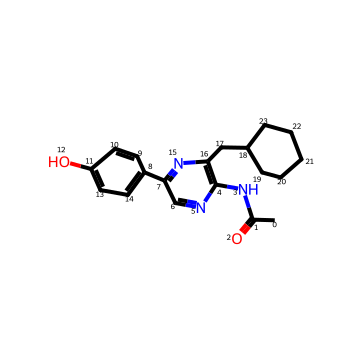 CC(=O)Nc1ncc(-c2ccc(O)cc2)nc1CC1CCCCC1